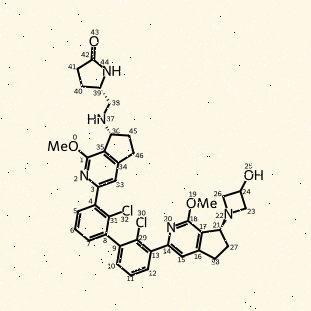 COc1nc(-c2cccc(-c3cccc(-c4cc5c(c(OC)n4)[C@@H](N4CC(O)C4)CC5)c3Cl)c2Cl)cc2c1[C@H](NC[C@@H]1CCC(=O)N1)CC2